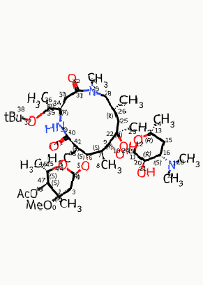 CO[C@]1(C)C[C@H](O[C@H]2[C@H](C)[C@@H](O[C@@H]3O[C@H](C)C[C@H](N(C)C)[C@H]3O)[C@](C)(O)C[C@@H](C)CN(C)C(=O)C[C@H]([C@@H](C)OC(C)(C)C)NC(=O)[C@@H]2C)O[C@@H](C)[C@@H]1OC(C)=O